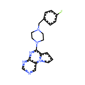 Fc1ccc(CN2CCN(c3nc4ncncc4n4cccc34)CC2)cc1